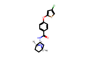 O=C(N[C@@H]1C[C@H]2CC[C@@H]1N2)c1ccc(Oc2cc(Cl)cs2)cc1